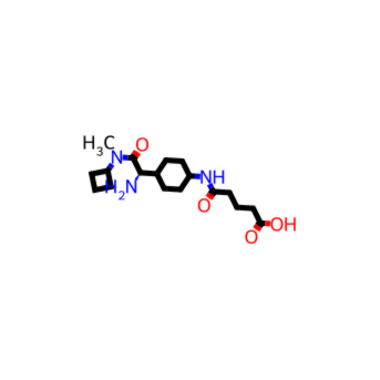 CN(C(=O)[C@@H](N)C1CCC(NC(=O)CCCC(=O)O)CC1)C1CCC1